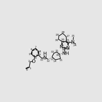 C=CCOc1ccccc1CNC[C@H]1CC[C@@H](Nc2nc3c(c(N(C)C)n2)CCCC3)CC1